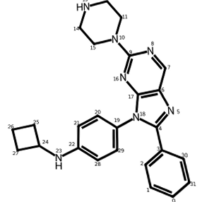 c1ccc(-c2nc3cnc(N4CCNCC4)nc3n2-c2ccc(NC3CCC3)cc2)cc1